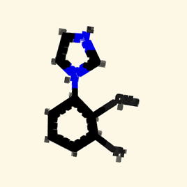 COc1c(C(C)C)cccc1-n1ccnc1